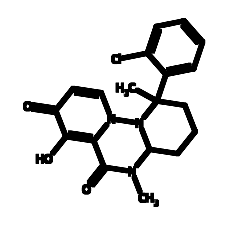 CN1C(=O)c2c(O)c(=O)ccn2N2C1CCCC2(C)c1ccccc1Cl